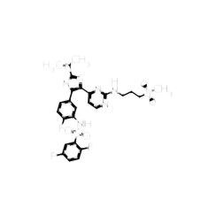 CN(C)c1nc(-c2ccc(F)c(NS(=O)(=O)c3cc(F)ccc3F)c2)c(-c2ccnc(NCCCS(C)(=O)=O)n2)s1